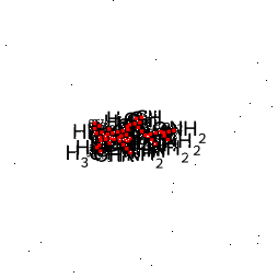 CC(C)C[C@H](NC(=O)CNC(=O)[C@H](CCCNC(=N)N)NC(=O)CNC(=O)[C@H](CCCCN)NC(=O)CN)C(=O)N[C@@H](CO)C(=O)N[C@@H](CC(C)C)C(=O)N[C@@H](CO)C(=O)N[C@@H](CCCNC(=N)N)C(=O)N[C@@H](Cc1ccccc1)C(=O)N[C@@H](CO)C(=O)N[C@@H](Cc1c[nH]c2ccccc12)C(=O)NCC(=O)N[C@@H](C)C(=O)O